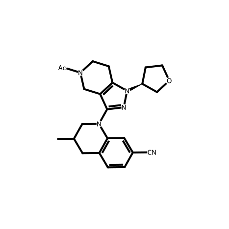 CC(=O)N1CCc2c(c(N3CC(C)Cc4ccc(C#N)cc43)nn2[C@H]2CCOC2)C1